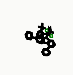 C[SiH](C)[Zr]([Cl])([Cl])([CH]1C([Si](C)(C)C)=Cc2c(-c3ccccc3)cccc21)[CH]1C([Si](C)(C)C)=Cc2c(-c3ccccc3)cccc21